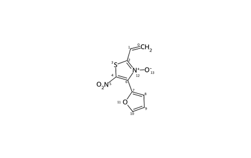 C=Cc1sc([N+](=O)[O-])c(-c2ccco2)[n+]1[O-]